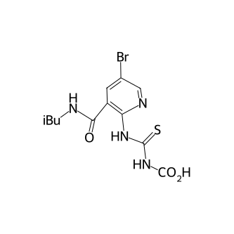 CCC(C)NC(=O)c1cc(Br)cnc1NC(=S)NC(=O)O